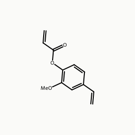 C=CC(=O)Oc1ccc(C=C)cc1OC